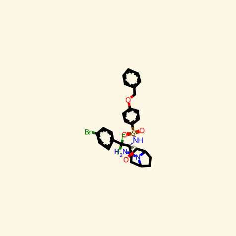 NC1CC2CCC(C1)N2C(=O)[C@@H](NS(=O)(=O)c1ccc(OCc2ccccc2)cc1)C(F)(F)c1ccc(Br)cc1